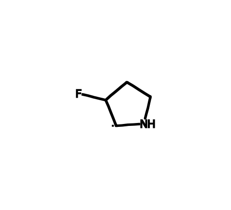 FC1[CH]NCC1